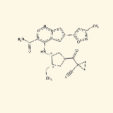 CC[C@H]1CN(C(=O)C2(C#N)CC2)C[C@H]1Nc1c(C(N)=O)cnn2cc(-c3cc(C)no3)cc12